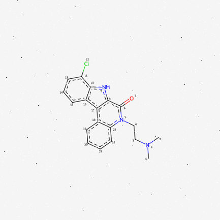 CN(C)CCn1c(=O)c2[nH]c3c(Cl)cccc3c2c2ccccc21